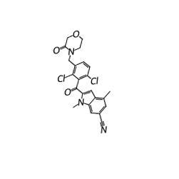 Cc1cc(C#N)cc2c1cc(C(=O)c1c(Cl)ccc(CN3CCOCC3=O)c1Cl)n2C